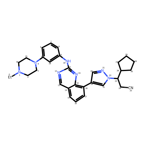 CCN1CCN(c2cccc(Nc3ncc4cccc(-c5cnn(C(CC#N)C6CCCC6)c5)c4n3)c2)CC1